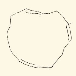 [C]1=C\CC/C=C\CCC/C=C/C/1